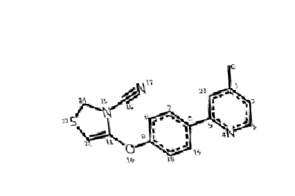 Cc1ccnc(-c2ccc(OC3=CSCN3C#N)cc2)c1